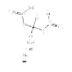 O=[PH](O)OC(Cl)(Cl)O[PH](=O)O.[NaH].[NaH].[NaH].[NaH]